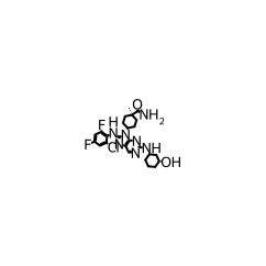 C[C@]1(C(N)=O)CC[C@H](n2c(Nc3c(F)cc(F)cc3Cl)nc3cnc(N[C@H]4CCC[C@@H](O)C4)nc32)CC1